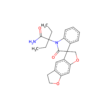 CCC(CC)(C(N)=O)N1C(=O)C2(COc3cc4c(cc32)CCO4)c2ccccc21